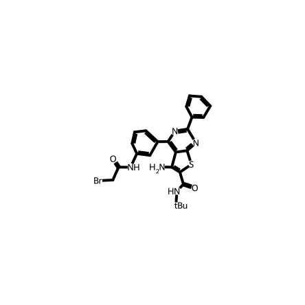 CC(C)(C)NC(=O)c1sc2nc(-c3ccccc3)nc(-c3cccc(NC(=O)CBr)c3)c2c1N